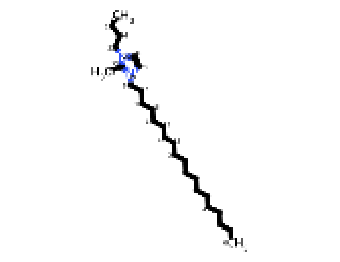 CCCCCCCCCCCCCCCCCCC[n+]1ccn(CCCC)c1C